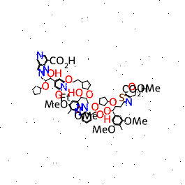 CCOc1cc(C(O)C(Cn2cc3cncc(C(=O)O)c3n2)OC2CCCC2)cc(OCCC2CCC(OC(Cn3nnc4cccc(C(=O)OC5CCC(OC(Cc6nc(CC(=O)OC)c(C(=O)O)s6)C(O)c6cc(OC)c(C)c(OC)c6)C5)c43)C(O)c3cc(OC)c(C)c(OC)c3)C2)n1